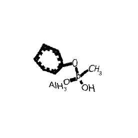 CP(=O)(O)Oc1ccccc1.[AlH3]